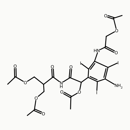 CC(=O)OCC(=O)Nc1c(I)c(N)c(I)c(C(OC(C)=O)C(=O)NC(=O)C(COC(C)=O)COC(C)=O)c1I